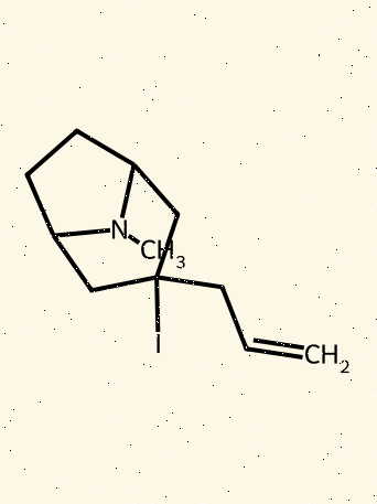 C=CCC1(I)CC2CCC(C1)N2C